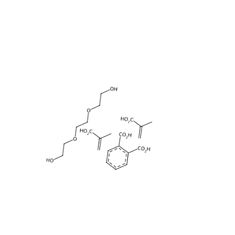 C=C(C)C(=O)O.C=C(C)C(=O)O.O=C(O)c1ccccc1C(=O)O.OCCOCCOCCO